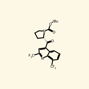 CC(C)(C)OC(=O)N1CCC[C@H]1C(=O)c1cc(C(F)(F)F)nc2c(C(F)(F)F)cccc12